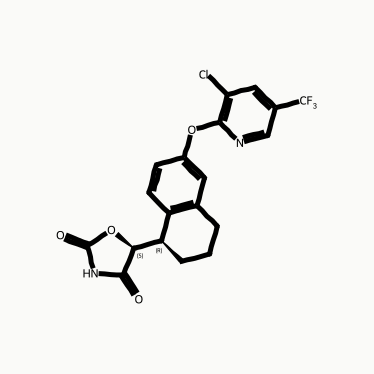 O=C1NC(=O)[C@H]([C@@H]2CCCc3cc(Oc4ncc(C(F)(F)F)cc4Cl)ccc32)O1